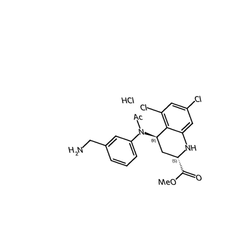 COC(=O)[C@@H]1C[C@@H](N(C(C)=O)c2cccc(CN)c2)c2c(Cl)cc(Cl)cc2N1.Cl